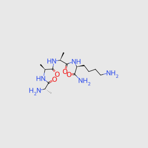 C[C@H](N)C(=O)N[C@@H](C)C(=O)N[C@@H](C)C(=O)N[C@@H](CCCCN)C(N)=O